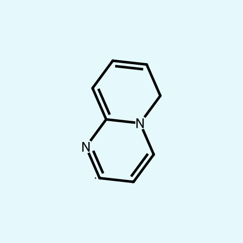 [C]1=NC2=CC=CCN2C=C1